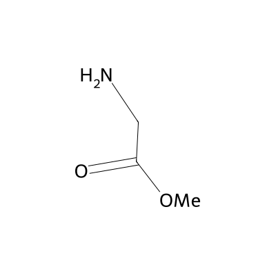 [CH2]OC(=O)CN